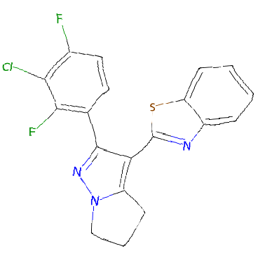 Fc1ccc(-c2nn3c(c2-c2nc4ccccc4s2)CCC3)c(F)c1Cl